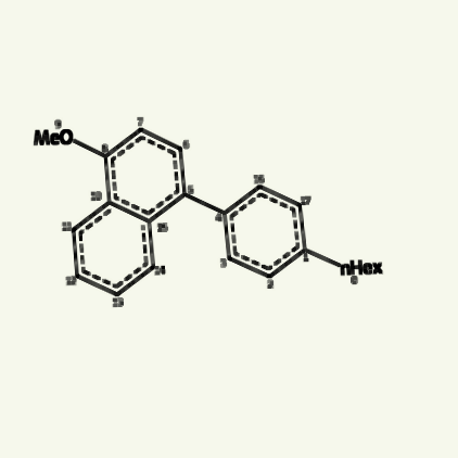 CCCCCCc1ccc(-c2ccc(OC)c3ccccc23)cc1